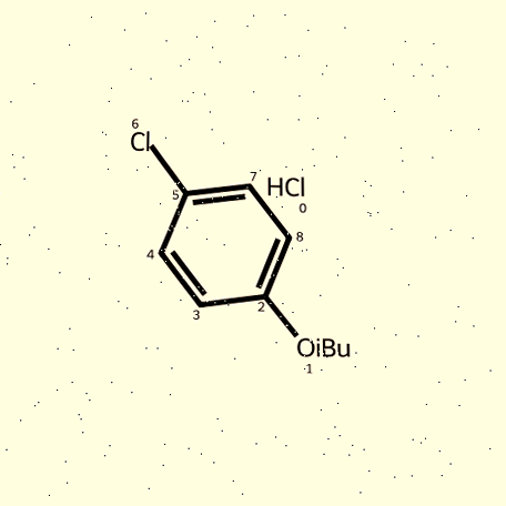 Cl.[CH2][C@@H](C)COc1ccc(Cl)cc1